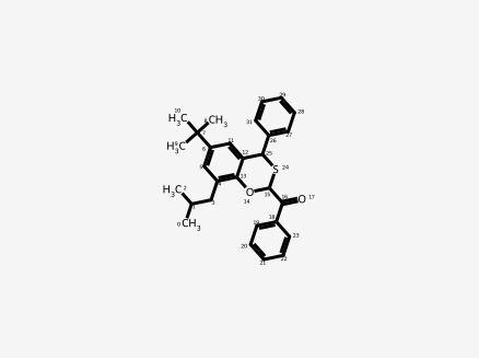 CC(C)Cc1cc(C(C)(C)C)cc2c1OC(C(=O)c1ccccc1)SC2c1ccccc1